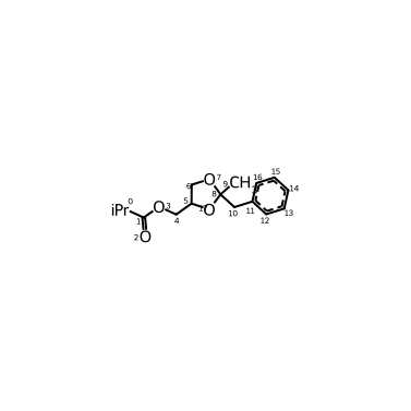 CC(C)C(=O)OCC1COC(C)(Cc2ccccc2)O1